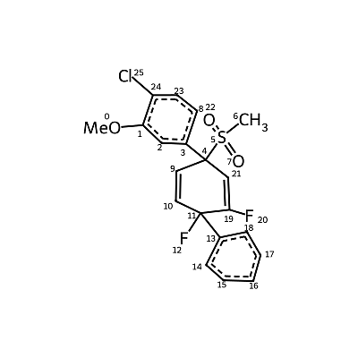 COc1cc(C2(S(C)(=O)=O)C=CC(F)(c3ccccc3)C(F)=C2)ccc1Cl